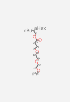 CCCCCCC(CCCC)COC(=O)CCCOCCOCCOC(C)C